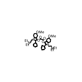 CCN(CC)CCn1c2c(c(OC(=O)C(=O)Oc3c4c(n(CCN(CC)CC)c3-c3ccccc3)CCC(OC)C4)c1-c1ccccc1)CC(OC)CC2